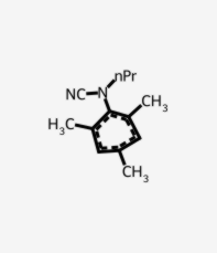 CCCN(C#N)c1c(C)cc(C)cc1C